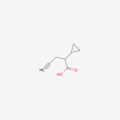 C#CCC(C(=O)O)C1CC1